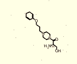 N[C@H](CO)C(=O)N1CCN(CCCOC2=CC[CH]C=C2)CC1